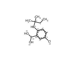 CCC(C)(C)Bc1ccc(Cl)cc1B(O)O